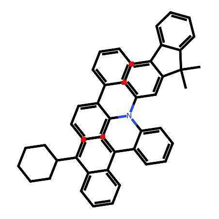 CC1(C)c2ccccc2-c2ccc(N(c3ccccc3-c3ccccc3)c3ccccc3-c3ccc(C4CCCCC4)c4ccccc34)cc21